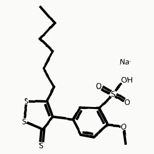 CCCCCCc1ssc(=S)c1-c1ccc(OC)c(S(=O)(=O)O)c1.[Na]